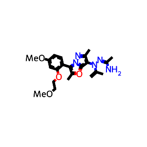 C=C(C)N(/N=C(/C)N)c1c(C)nn2c(-c3ccc(OC)cc3OCCOC)c(C)oc12